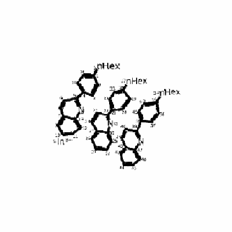 CCCCCCc1ccc(-c2ccc3ccccc3n2)cc1.CCCCCCc1ccc(-c2ccc3ccccc3n2)cc1.CCCCCCc1ccc(-c2ccc3ccccc3n2)cc1.[In+3]